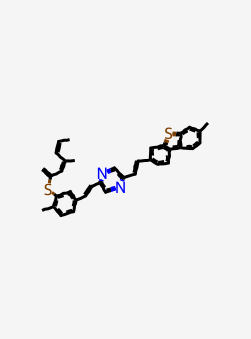 C=C(/C=C(C)\C=C/C)Sc1cc(/C=C/c2cnc(/C=C/c3ccc4c(c3)sc3cc(C)ccc34)cn2)ccc1C